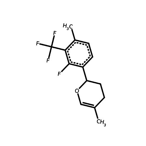 CC1=COC(c2ccc(C)c(C(F)(F)F)c2F)CC1